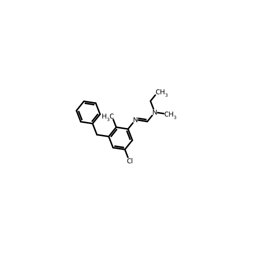 CCN(C)C=Nc1cc(Cl)cc(Cc2ccccc2)c1C